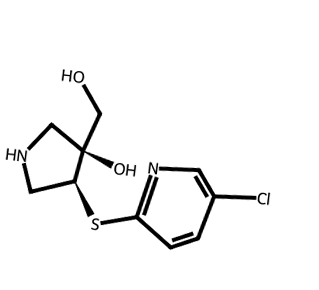 OC[C@@]1(O)CNC[C@@H]1Sc1ccc(Cl)cn1